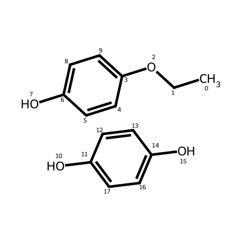 CCOc1ccc(O)cc1.Oc1ccc(O)cc1